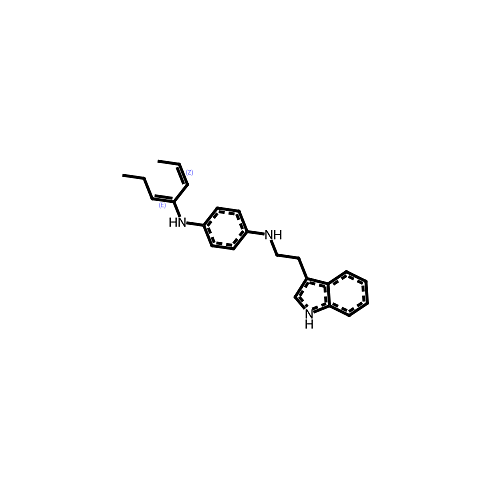 C/C=C\C(=C/CC)Nc1ccc(NCCc2c[nH]c3ccccc23)cc1